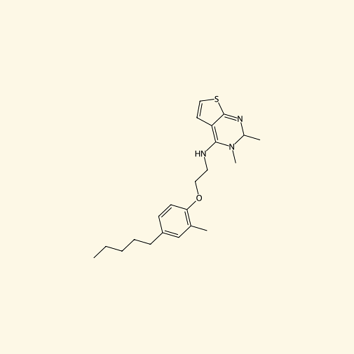 CCCCCc1ccc(OCCNC2=c3ccsc3=NC(C)N2C)c(C)c1